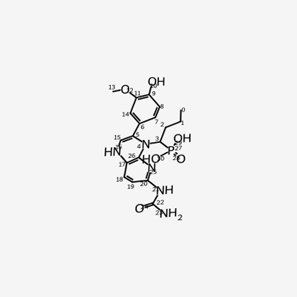 CCCC(N1C(c2ccc(O)c(OC)c2)=CNc2ccc(NC(N)=O)nc21)P(=O)(O)O